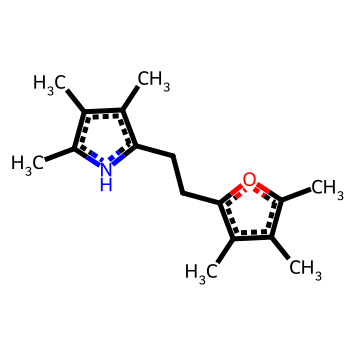 Cc1[nH]c(CCc2oc(C)c(C)c2C)c(C)c1C